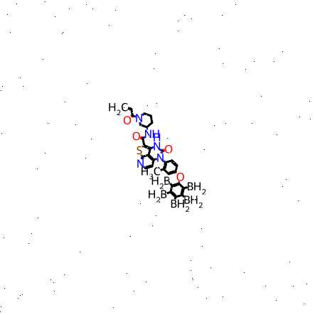 Bc1c(B)c(B)c(Oc2ccc(N3C(=O)Nc4c(C(=O)N[C@@H]5CCCN(C(=O)C=C)C5)sc5nccc3c45)c(C)c2)c(B)c1B